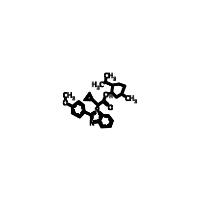 COc1ccc(-c2nc3ccccc3n2C(C(=O)O[C@@H]2CC(C)CCC2C(C)C)C2CC2)cc1